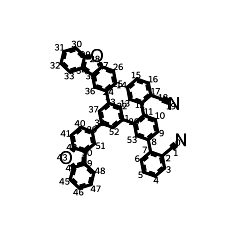 N#Cc1ccccc1-c1ccc(-c2ccccc2C#N)c(-c2cc(-c3ccc4oc5ccccc5c4c3)cc(-c3ccc4oc5ccccc5c4c3)c2)c1